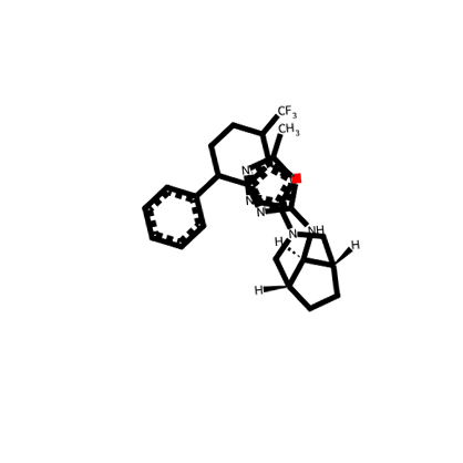 Cc1nnc(N2C[C@H]3CC[C@@H](C2)[C@@H]3Nc2nc3n(n2)C(C(F)(F)F)CCC3c2ccccc2)o1